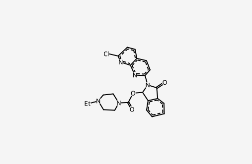 CCN1CCN(C(=O)OC2c3ccccc3C(=O)N2c2ccc3ccc(Cl)nc3n2)CC1